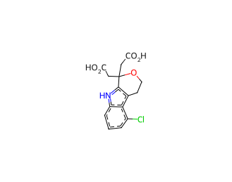 O=C(O)CC1(CC(=O)O)OCCc2c1[nH]c1cccc(Cl)c21